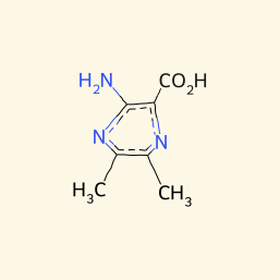 Cc1nc(N)c(C(=O)O)nc1C